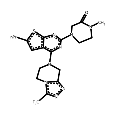 CCCc1cc2c(N3CCn4c(nnc4C(F)(F)F)C3)nc(N3CCN(C)C(=O)C3)nc2s1